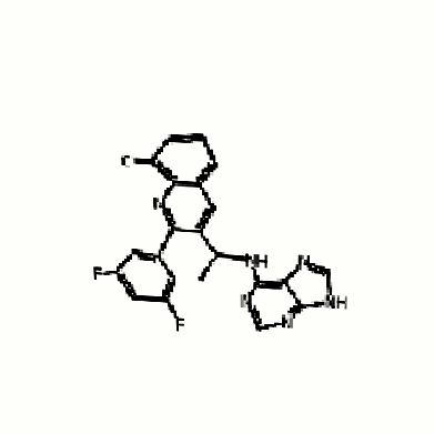 C[C@H](Nc1ncnc2[nH]cnc12)c1cc2cccc(Cl)c2nc1-c1cc(F)cc(F)c1